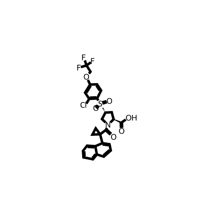 O=C(O)[C@@H]1C[C@@H](S(=O)(=O)c2ccc(OCC(F)(F)F)cc2Cl)CN1C(=O)C1(c2cccc3ccccc23)CC1